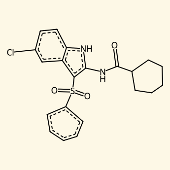 O=C(Nc1[nH]c2ccc(Cl)cc2c1S(=O)(=O)c1ccccc1)C1CCCCC1